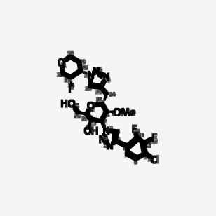 CO[C@@H]1[C@@H](n2cc(-c3ccc(Cl)c(F)c3F)nn2)[C@@H](O)[C@@H](CO)O[C@@H]1Cc1cn([C@H]2CCOC[C@H]2F)nn1